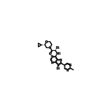 CC[C@H](Nc1ncnc2c1nc(-c1cnc(C)nc1)n2CC)C(=O)N1CCO[C@@H](C2CC2)C1